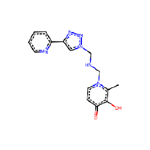 Cc1c(O)c(=O)ccn1CNCn1cc(-c2ccccn2)nn1